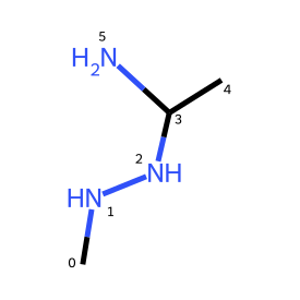 CNNC(C)N